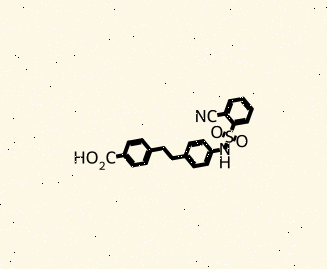 N#Cc1ccccc1S(=O)(=O)Nc1ccc(CCc2ccc(C(=O)O)cc2)cc1